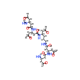 CNC(CC(C)=O)CC(=O)NC(CC(C)=O)CC(=O)NCCCC(CC(C)=O)NC(=O)CC(CC(C)=O)NC(=O)CC(CC(C)=O)NC